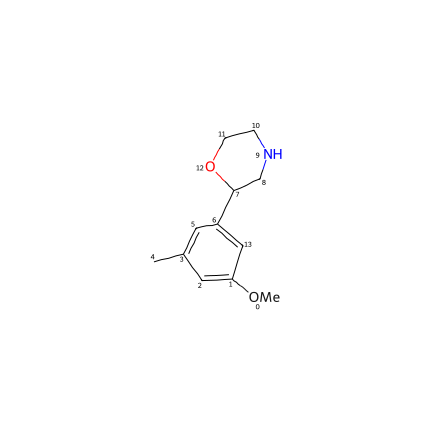 COc1cc(C)cc(C2CNCCO2)c1